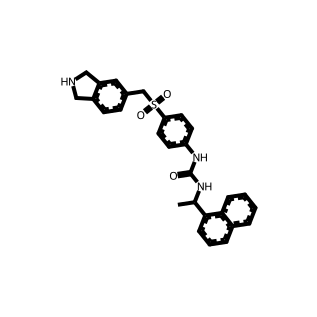 CC(NC(=O)Nc1ccc(S(=O)(=O)Cc2ccc3c(c2)CNC3)cc1)c1cccc2ccccc12